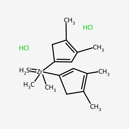 CC1=C(C)C[C]([Zr]([CH3])([CH3])(=[SiH2])[C]2=CC(C)=C(C)C2)=C1.Cl.Cl